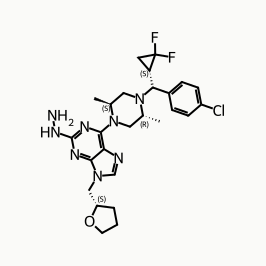 C[C@@H]1CN(c2nc(NN)nc3c2ncn3C[C@@H]2CCCO2)[C@@H](C)CN1C(c1ccc(Cl)cc1)[C@@H]1CC1(F)F